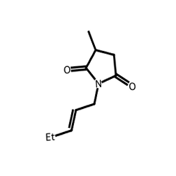 CCC=CCN1C(=O)CC(C)C1=O